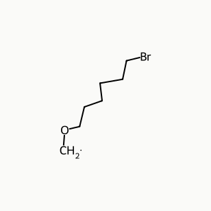 [CH2]OCCCCCCBr